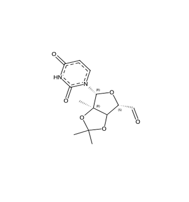 CC1(C)OC2[C@@H](C=O)O[C@@H](n3ccc(=O)[nH]c3=O)[C@]2(C)O1